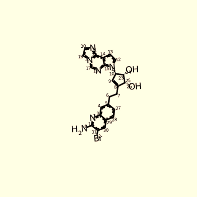 Nc1nc2cc(CCC3=C[C@@H](n4ccc5c4ncn4ccnc54)[C@H](O)[C@@H]3O)ccc2cc1Br